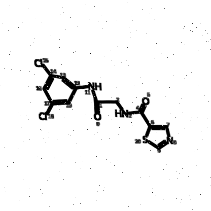 O=C(CNC(=O)c1cncs1)Nc1cc(Cl)cc(Cl)c1